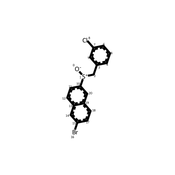 [O-][S+](Cc1cccc(Cl)c1)c1ccc2cc(Br)ccc2c1